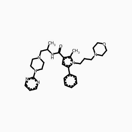 Cc1c(C(=O)NC(C)CN2CCN(c3ncccn3)CC2)cc(-c2ccccc2)n1CCCN1CCOCC1